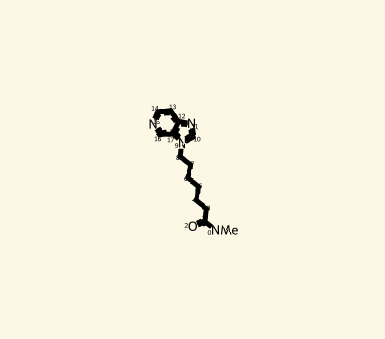 CNC(=O)CCCCCCn1cnc2ccncc21